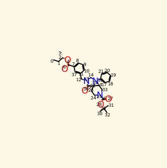 CC[C@H](C)OC(=O)c1cccc(CN2CN(c3ccccc3)C3(CCN(C(=O)OC(C)(C)C)CC3)C2=O)c1